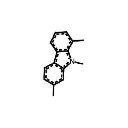 Cc1ccc2c3cccc(C)c3n(C)c2c1